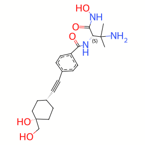 CC(C)(N)[C@H](NC(=O)c1ccc(C#C[C@H]2CC[C@](O)(CO)CC2)cc1)C(=O)NO